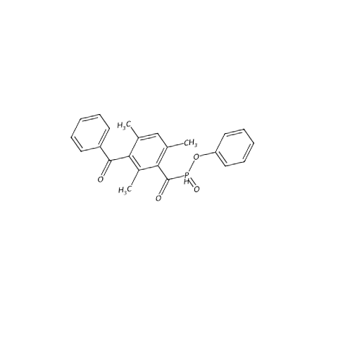 Cc1cc(C)c(C(=O)[PH](=O)Oc2ccccc2)c(C)c1C(=O)c1ccccc1